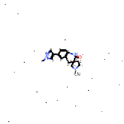 Cn1cc(-c2ccc3c(c2)CC2(CCN(C#N)C2)C(=O)N3)cn1